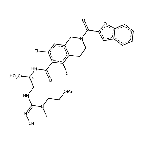 COCCN(C)C(=NC#N)NC[C@H](NC(=O)c1c(Cl)cc2c(c1Cl)CCN(C(=O)c1cc3ccccc3o1)C2)C(=O)O